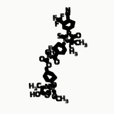 COCP(=O)(N[C@@H](C)C(=O)O)Oc1ccc(COC(=O)N(C)C(=O)c2ccc(N3C(=S)N(c4ccc(C#N)c(C(F)(F)F)c4)C(=O)C3(C)C)cc2F)cc1